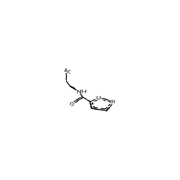 CC(=O)CNC(=O)c1ccno1